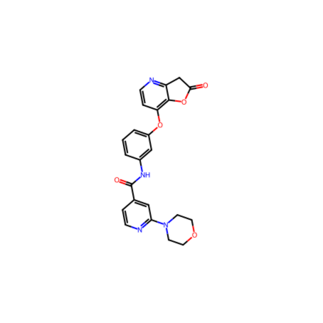 O=C1Cc2nccc(Oc3cccc(NC(=O)c4ccnc(N5CCOCC5)c4)c3)c2O1